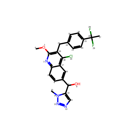 COc1nc2ccc(C(O)c3cnnn3C)cc2c(Cl)c1Cc1ccc(C(C)(F)F)cc1